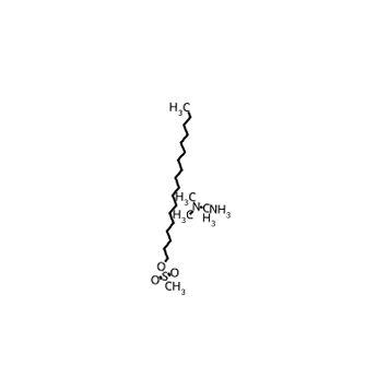 CCCCCCCCCCCCCCCCCCOS(C)(=O)=O.CN(C)C.N